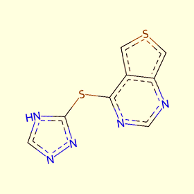 c1nc(Sc2nnc[nH]2)c2cscc2n1